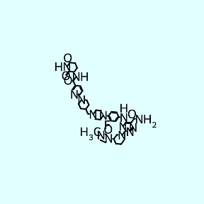 CN1CCN([C@@H]2CCCN(c3nnc(C(N)=O)c(Nc4ccc(N5CCN(CC6CCN(c7ccc(C(=O)NC8CCC(=O)NC8=O)cn7)CC6)CC5)c(F)c4)n3)C2)C1=O